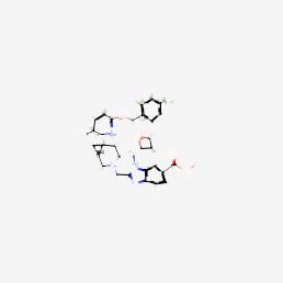 COC(=O)c1ccc2nc(CN3CC[C@@]4(C5N=C(OCc6ccc(Cl)cc6F)C=CC5C)C[C@H]4C3)n(C[C@@H]3CCO3)c2c1